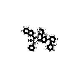 c1ccc(C2N=C(c3ccc(-c4cccc5oc6ccccc6c45)c4oc5ccncc5c34)N=C(c3ccc4ccccc4c3)N2)cc1